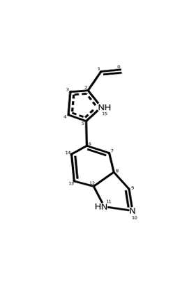 C=Cc1ccc(C2=CC3C=NNC3C=C2)[nH]1